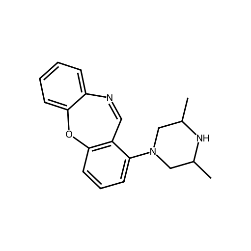 CC1CN(c2cccc3c2C=Nc2ccccc2O3)CC(C)N1